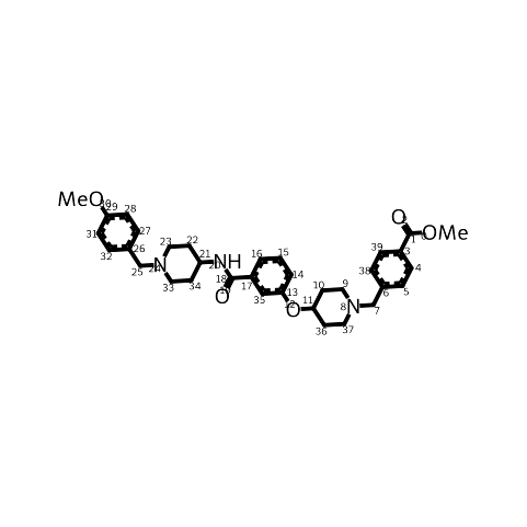 COC(=O)c1ccc(CN2CCC(Oc3cccc(C(=O)NC4CCN(Cc5ccc(OC)cc5)CC4)c3)CC2)cc1